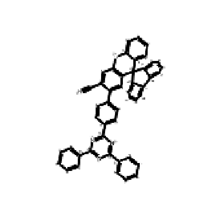 N#Cc1cc2c(cc1-c1ccc(-c3nc(-c4ccccc4)nc(-c4ccccc4)n3)cc1)C1(c3ccccc3O2)c2ccccc2-c2ccccc21